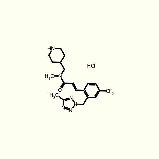 Cc1nnn(Cc2cc(C(F)(F)F)ccc2C=CC(=O)N(C)CC2CCNCC2)n1.Cl